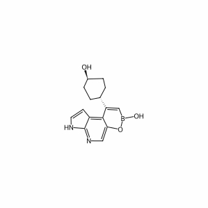 OB1C=C([C@H]2CC[C@H](O)CC2)c2c(cnc3[nH]ccc23)O1